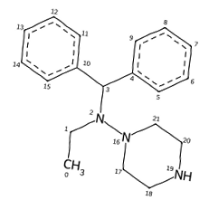 CCN(C(c1ccccc1)c1ccccc1)N1CCNCC1